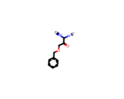 [C-]#[N+]C([N+]#[C-])C(=O)COCc1ccccc1